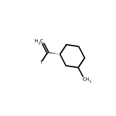 C=C(I)[C@@H]1CCCC(C)C1